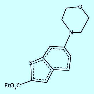 CCOC(=O)c1cc2ccc(N3CCOCC3)cc2s1